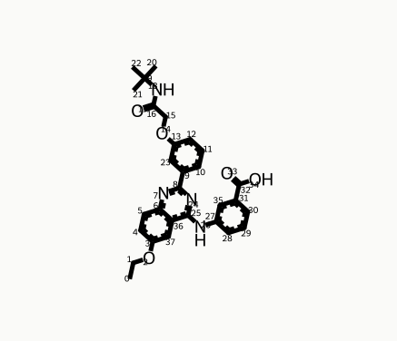 CCOc1ccc2nc(-c3cccc(OCC(=O)NC(C)(C)C)c3)nc(Nc3cccc(C(=O)O)c3)c2c1